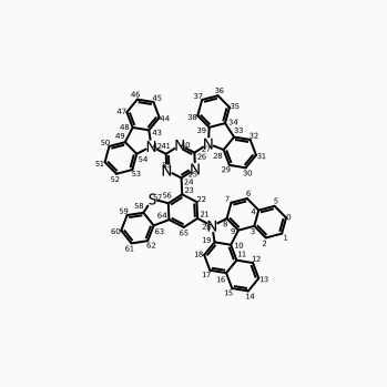 c1ccc2c(c1)ccc1c2c2c3ccccc3ccc2n1-c1cc(-c2nc(-n3c4ccccc4c4ccccc43)nc(-n3c4ccccc4c4ccccc43)n2)c2sc3ccccc3c2c1